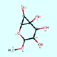 COC1OC2C(O)C2(O)C(O)C1O